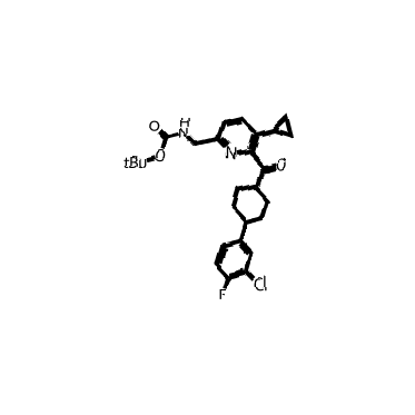 CC(C)(C)OC(=O)NCc1ccc(C2CC2)c(C(=O)C2CCC(c3ccc(F)c(Cl)c3)CC2)n1